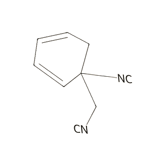 [C-]#[N+]CC1([N+]#[C-])C=CC=CC1